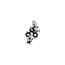 CC(C)(C)OC(=O)N1CCC=C(c2cnc(C(N)=O)c3[nH]c4c(c23)CCCC4)C1